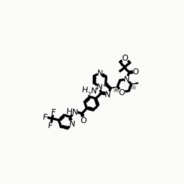 C[C@H]1CO[C@@H](C2=C3C=NC=C[N+]3(N)C(c3ccc(C(=O)Nc4cc(C(F)(F)F)ccn4)cc3)=N2)CN1C(=O)C1(C)COC1